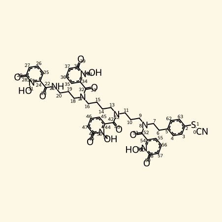 N#CSc1ccc(CCN(CCCN(CCCCN(CCCNC(=O)c2cccc(=O)n2O)C(=O)c2cccc(=O)n2O)C(=O)c2cccc(=O)n2O)C(=O)c2cccc(=O)n2O)cc1